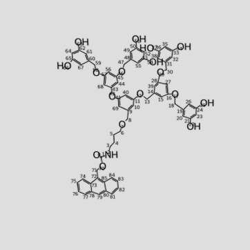 O=C(NCCCCOCc1cc(OCc2cc(OCc3cc(O)cc(O)c3)cc(OCc3cc(O)cc(O)c3)c2)cc(Oc2cc(OCc3cc(O)cc(O)c3)cc(OCc3cc(O)cc(O)c3)c2)c1)OCc1c2ccccc2cc2ccccc12